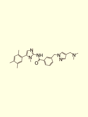 Cc1cc(C)c(-c2cnc(NC(=O)c3cccc(Cn4cc(CN(C)C)cn4)c3)n2C)cc1C